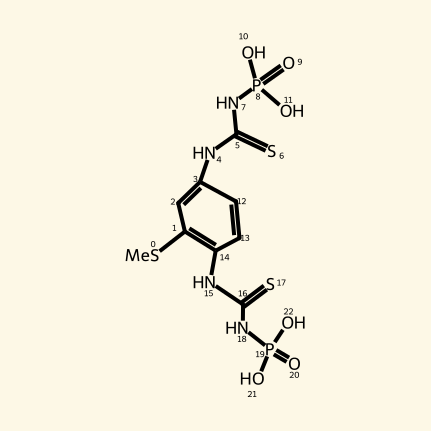 CSc1cc(NC(=S)NP(=O)(O)O)ccc1NC(=S)NP(=O)(O)O